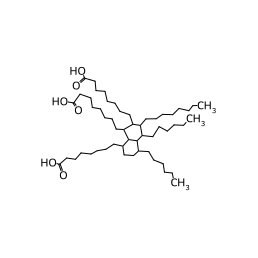 CCCCCCCCC1C(CCCCCCCC(=O)O)C(CCCCCCCC(=O)O)C2C(CCCCCCCC(=O)O)CCC(CCCCCC)C2C1CCCCCC